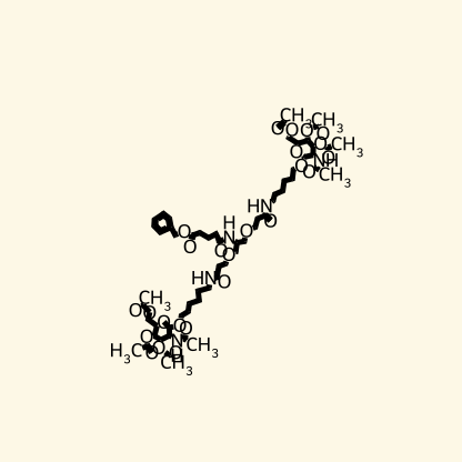 CC(=O)NC1C(OCCCCCCNC(=O)CCOCC(COCCC(=O)NCCCCCCOC2OC(COC(C)=O)C(OC(C)=O)C(OC(C)=O)C2NC(C)=O)NC(=O)CCCC(=O)OCc2ccccc2)OC(COC(C)=O)C(OC(C)=O)C1OC(C)=O